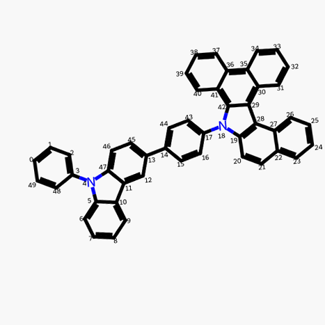 c1ccc(-n2c3ccccc3c3cc(-c4ccc(-n5c6ccc7ccccc7c6c6c7ccccc7c7ccccc7c65)cc4)ccc32)cc1